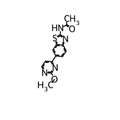 COc1nccc(-c2ccc3nc(NC(C)=O)sc3c2)n1